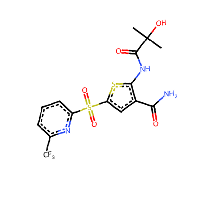 CC(C)(O)C(=O)Nc1sc(S(=O)(=O)c2cccc(C(F)(F)F)n2)cc1C(N)=O